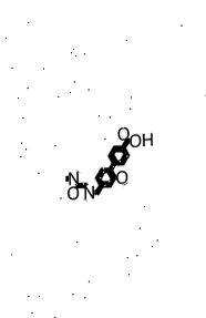 COc1cc(CN(C)CC(=O)N(C)C)ccc1-c1ccc(C(=O)O)cc1